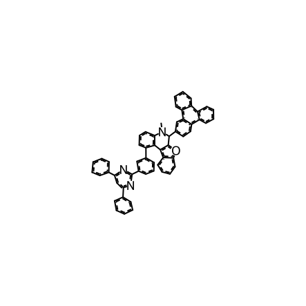 CN1c2cccc(-c3cccc(-c4nc(-c5ccccc5)cc(-c5ccccc5)n4)c3)c2-c2c(oc3ccccc23)C1c1ccc2c3ccccc3c3ccccc3c2c1